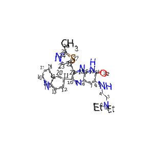 CCN(CC)CCNc1cc2nc(-c3ccc4ncccc4c3)c(-c3cnc(C)s3)nc2[nH]c1=O